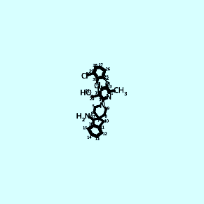 Cc1nc(N2CCC3(CC2)Cc2ccccc2C3N)c(CO)nc1Sc1cccc(Cl)c1Cl